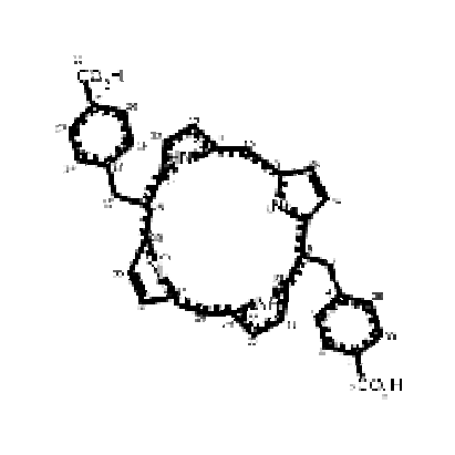 O=C(O)c1ccc(Cc2c3nc(cc4ccc([nH]4)c(Cc4ccc(C(=O)O)cc4)c4nc(cc5ccc2[nH]5)C=C4)C=C3)cc1